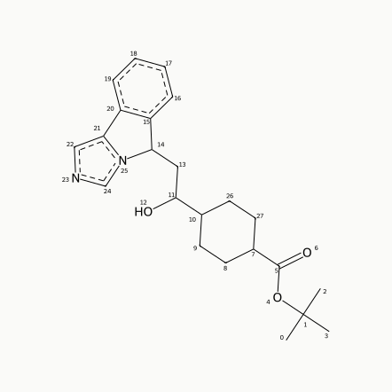 CC(C)(C)OC(=O)C1CCC(C(O)CC2c3ccccc3-c3cncn32)CC1